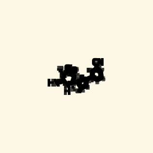 Cc1cc(-c2cccc(C#N)c2)sc1[C@]1(C)CS(=O)(=O)N(C)C(=N)N1